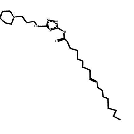 CCCCCCCCC=CCCCCCCCC(=O)Nc1nnc(NCCCN2CCN(C)CC2)s1